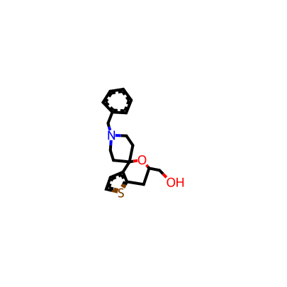 OCC1Cc2sccc2C2(CCN(Cc3ccccc3)CC2)O1